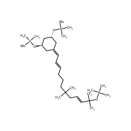 CC(C)(CC=CC(O[Si](C)(C)C)(C(F)(F)F)C(F)(F)F)CCCC=CC=C1C[C@@H](O[Si](C)(C)C(C)(C)C)C[C@H](O[Si](C)(C)C(C)(C)C)C1